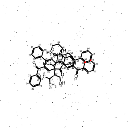 CC(C)C(CO)C1(C(=O)C2(C(CO)C(C)C)C=C(C(=O)c3ccccc3)C(c3ccccc3)=CC2C2CCCNC2)C=C(C(=O)c2ccccc2)C(c2ccccc2)=CC1C1CCCNC1